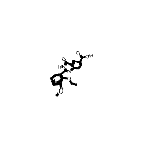 CCOc1c(OC)cccc1-c1nc2ccc(C(=O)O)cc2c(=O)[nH]1